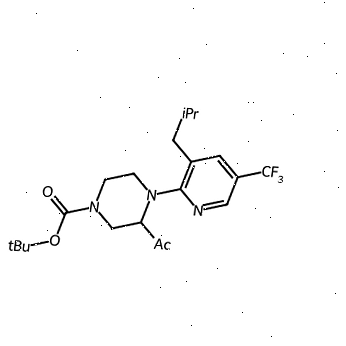 CC(=O)C1CN(C(=O)OC(C)(C)C)CCN1c1ncc(C(F)(F)F)cc1CC(C)C